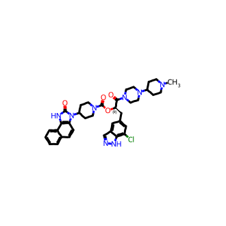 CN1CCC(N2CCN(C(=O)[C@@H](Cc3cc(Cl)c4[nH]ncc4c3)OC(=O)N3CCC(n4c(=O)[nH]c5c6ccccc6ccc54)CC3)CC2)CC1